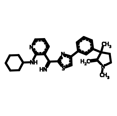 C=C1N(C)CCC1(C)c1cccc(-c2csc(C(=N)c3cccnc3NC3CCCCC3)n2)c1